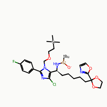 CC(C)(C)[S+]([O-])N[C@@H](CCCCCC1(c2ncco2)OCCO1)c1c(Cl)nc(-c2ccc(F)cc2)n1COCC[Si](C)(C)C